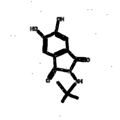 CC(C)(C)NN1C(=O)c2cc(O)c(O)cc2C1=O